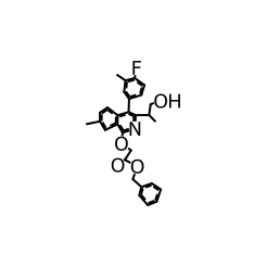 Cc1ccc2c(-c3ccc(F)c(C)c3)c(C(C)CO)nc(OCC(=O)OCc3ccccc3)c2c1